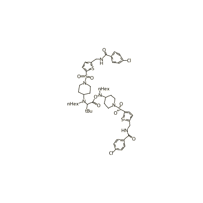 CCCCCCN(OC(=O)C(N(CCCCCC)C1CCN(S(=O)(=O)c2ccc(CNC(=O)c3ccc(Cl)cc3)s2)CC1)C(C)(C)C)C1CCN(S(=O)(=O)c2ccc(CNC(=O)c3ccc(Cl)cc3)s2)CC1